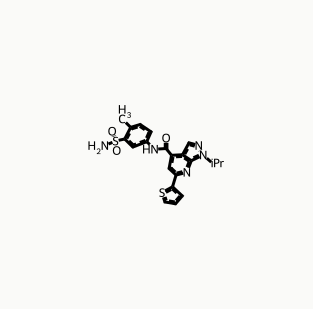 Cc1ccc(NC(=O)c2cc(-c3cccs3)nc3c2cnn3C(C)C)cc1S(N)(=O)=O